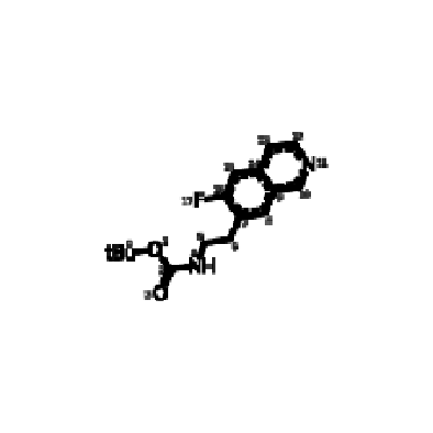 CC(C)(C)OC(=O)NCCc1cc2cnccc2cc1F